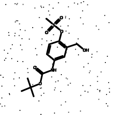 CC(C)(C)OC(=O)Nc1ccc(OS(C)(=O)=O)c(CO)c1